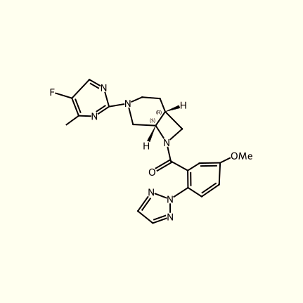 COc1ccc(-n2nccn2)c(C(=O)N2C[C@H]3CCN(c4ncc(F)c(C)n4)C[C@H]32)c1